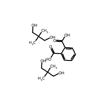 CC(C)(CO)CO.CC(C)(CO)CO.O=C(O)c1ccccc1C(=O)O